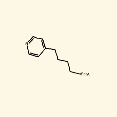 [CH2]CCCCCCCCc1ccncc1